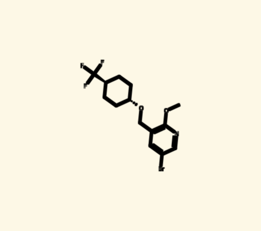 COc1ncc(Br)cc1CO[C@H]1CC[C@H](C(F)(F)F)CC1